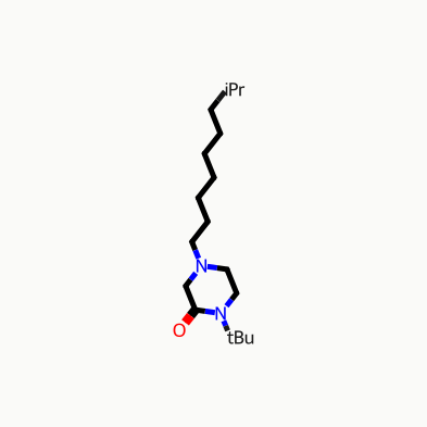 CC(C)CCCCCCCN1CCN(C(C)(C)C)C(=O)C1